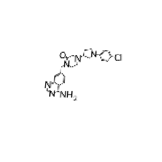 Nc1ncnc2cc(CN3CCN(C4CCN(c5ccc(Cl)cc5)C4)CC3=O)ccc12